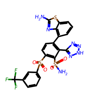 Nc1nc2c(-c3ccc(S(=O)(=O)c4cccc(C(F)(F)F)c4)c(S(N)(=O)=O)c3-c3nn[nH]n3)cccc2s1